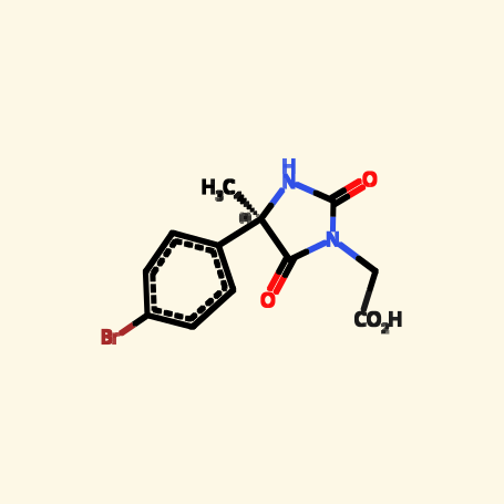 C[C@]1(c2ccc(Br)cc2)NC(=O)N(CC(=O)O)C1=O